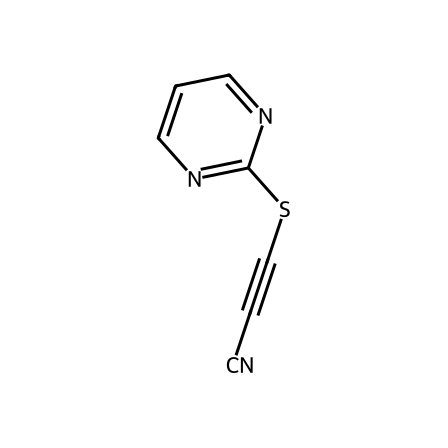 N#CC#CSc1ncccn1